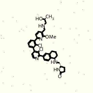 COc1nc(-c2cccc(-c3ccnc(-c4ccc5c(c4)CCC[C@H]5NC[C@@H]4CCC(=O)N4)c3Cl)c2Cl)ccc1CNC[C@H](C)O